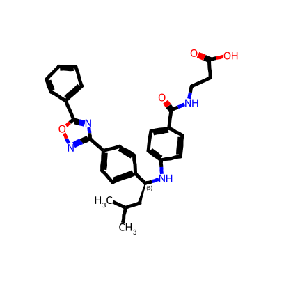 CC(C)C[C@H](Nc1ccc(C(=O)NCCC(=O)O)cc1)c1ccc(-c2noc(-c3ccccc3)n2)cc1